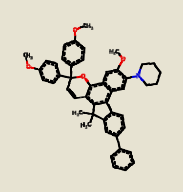 COc1ccc(C2(c3ccc(OC)cc3)C=Cc3c4c(c5cc(N6CCCCC6)c(OC)cc5c3O2)-c2ccc(-c3ccccc3)cc2C4(C)C)cc1